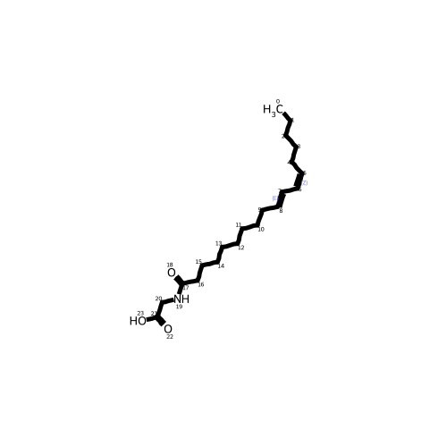 CCCCC/C=C\C=C\CCCCCCCCC(=O)NCC(=O)O